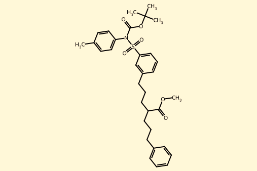 COC(=O)C(CCCc1ccccc1)CCCc1cccc(S(=O)(=O)N(C(=O)OC(C)(C)C)c2ccc(C)cc2)c1